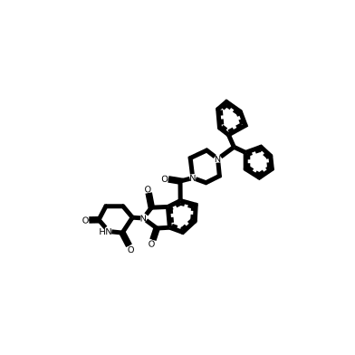 O=C1CCC(N2C(=O)c3cccc(C(=O)N4CCN(C(c5ccccc5)c5ccccc5)CC4)c3C2=O)C(=O)N1